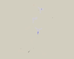 CCCc1cn([C@H]2C[C@H](O)[C@@H](CO)O2)c(=O)nc1NO